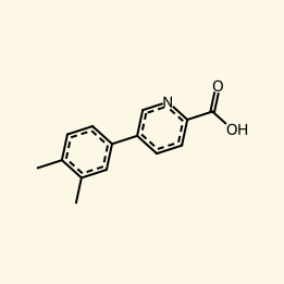 Cc1ccc(-c2ccc(C(=O)O)nc2)cc1C